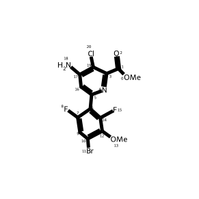 COC(=O)c1nc(-c2c(F)cc(Br)c(OC)c2F)cc(N)c1Cl